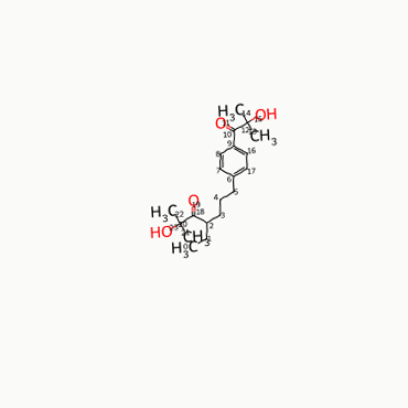 CCC(CCCc1ccc(C(=O)C(C)(C)O)cc1)C(=O)C(C)(C)O